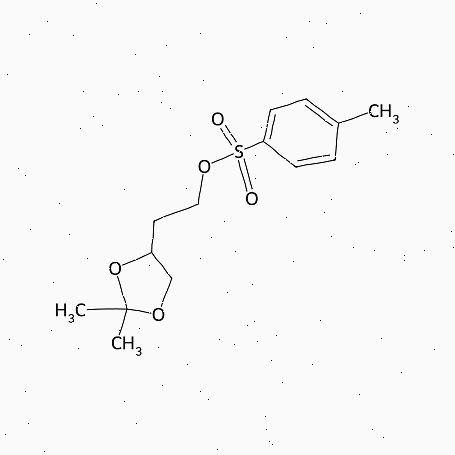 Cc1ccc(S(=O)(=O)OCCC2COC(C)(C)O2)cc1